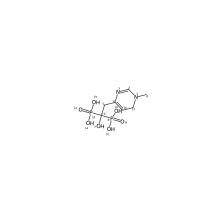 CN1C=NC(CC(O)(P(=O)(O)O)P(=O)(O)O)=CC1